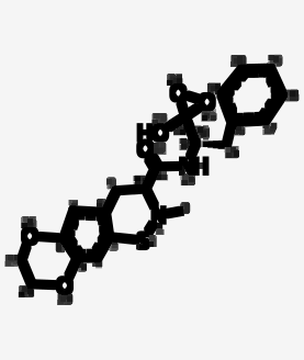 CN1Sc2cc3c(cc2CC1C(=O)N[C@@H](Cc1ccccc1)C1(O)OO1)OCCO3